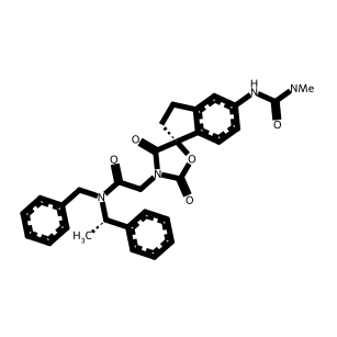 CNC(=O)Nc1ccc2c(c1)CC[C@@]21OC(=O)N(CC(=O)N(Cc2ccccc2)[C@@H](C)c2ccccc2)C1=O